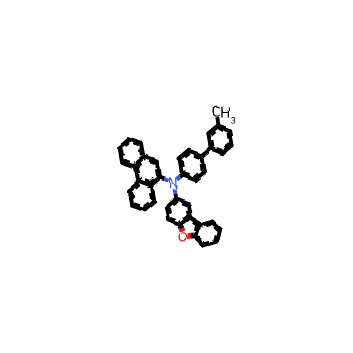 Cc1cccc(-c2ccc(N(c3ccc4oc5ccccc5c4c3)c3cc4ccccc4c4ccccc34)cc2)c1